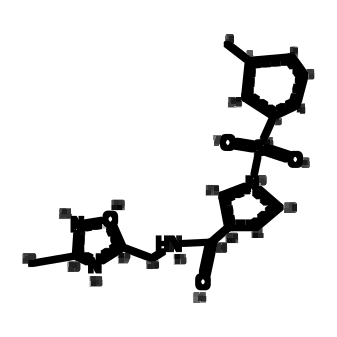 Cc1cccc(S(=O)(=O)n2ccc(C(=O)NCc3nc(C)no3)c2)c1